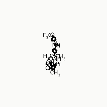 CCCc1ccc(C)cc1N1/C(=N/C(=O)NC(C)C(C)c2ccc(-c3ncn(-c4ccc(OC(F)(F)F)cc4)n3)cc2)SCCC1C